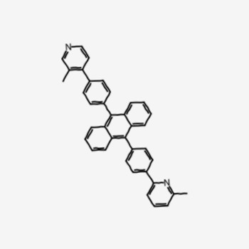 Cc1cccc(-c2ccc(-c3c4ccccc4c(-c4ccc(-c5ccncc5C)cc4)c4ccccc34)cc2)n1